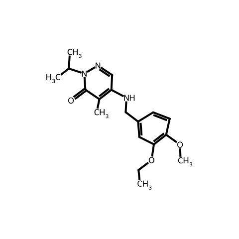 CCOc1cc(CNc2cnn(C(C)C)c(=O)c2C)ccc1OC